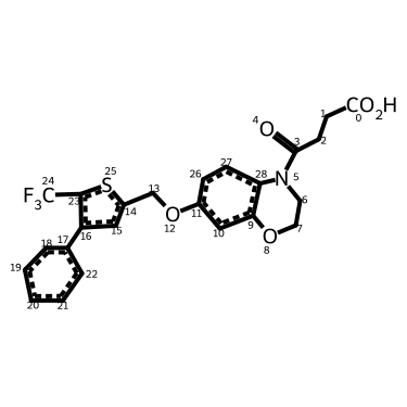 O=C(O)CCC(=O)N1CCOc2cc(OCc3cc(-c4ccccc4)c(C(F)(F)F)s3)ccc21